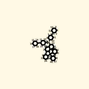 c1ccc(-c2ccc(N(c3ccc(-c4ccccc4)cc3)c3cccc4c5c(ccc34)-c3ccccc3C5(c3ccccc3)c3ccccc3)cc2)cc1